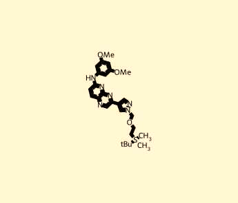 COc1cc(Nc2ccc3ncc(-c4cnn(COCCS(C)(C)C(C)(C)C)c4)nc3n2)cc(OC)c1